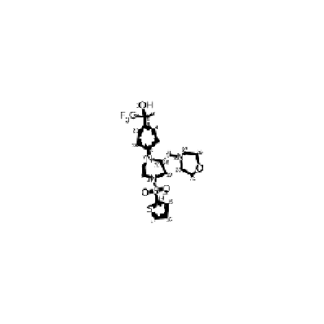 C[C@@](O)(c1ccc(N2CCN(S(=O)(=O)c3cccs3)C[C@H]2CN2CCOCC2)cc1)C(F)(F)F